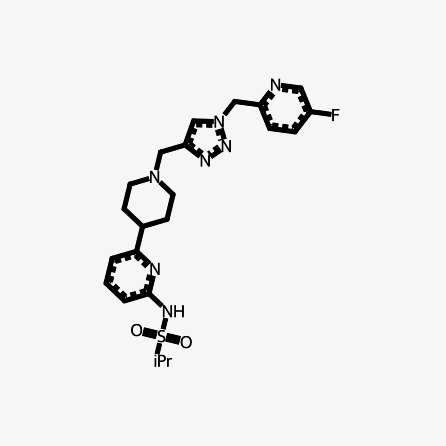 CC(C)S(=O)(=O)Nc1cccc(C2CCN(Cc3cn(Cc4ccc(F)cn4)nn3)CC2)n1